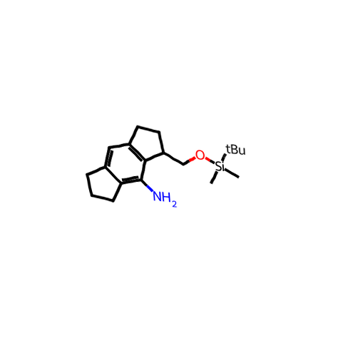 CC(C)(C)[Si](C)(C)OCC1CCc2cc3c(c(N)c21)CCC3